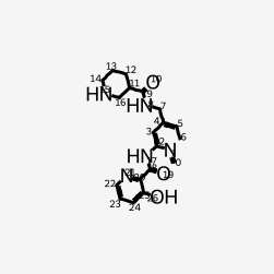 C=N/C(=C\C(=C/C)CNC(=O)C1CCCNC1)NC(=O)c1ncccc1O